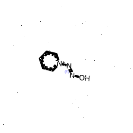 O/N=N/[n+]1ccccc1